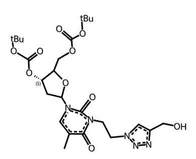 Cc1cn(C2C[C@H](OC(=O)OC(C)(C)C)C(COC(=O)OC(C)(C)C)O2)c(=O)n(CCn2cc(CO)nn2)c1=O